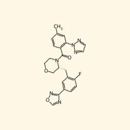 Cc1ccc(C(=O)N2CCOC[C@H]2Cc2cc(-c3ncon3)ccc2F)c(-n2nccn2)c1